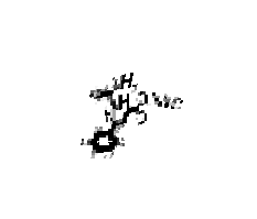 COC(=O)CCC(=NNC(N)=S)c1ccccc1